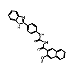 COc1cc2ccccc2cc1C(=O)NC(=S)Nc1ccc(-c2nc3ccccc3[nH]2)cc1